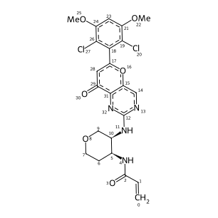 C=CC(=O)N[C@H]1CCOC[C@H]1Nc1ncc2oc(-c3c(Cl)c(OC)cc(OC)c3Cl)cc(=O)c2n1